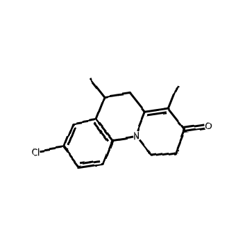 CC1=C2CC(C)c3cc(Cl)ccc3N2CCC1=O